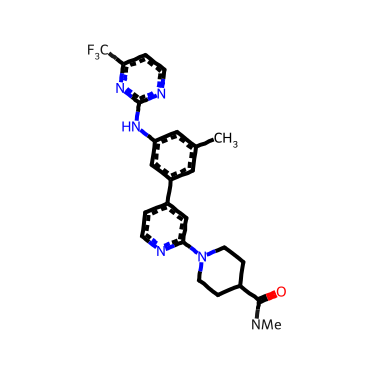 CNC(=O)C1CCN(c2cc(-c3cc(C)cc(Nc4nccc(C(F)(F)F)n4)c3)ccn2)CC1